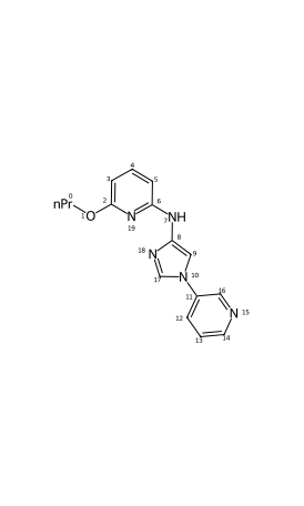 CCCOc1cccc(Nc2cn(-c3cccnc3)cn2)n1